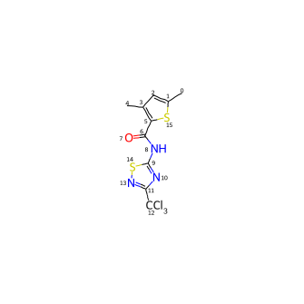 Cc1cc(C)c(C(=O)Nc2nc(C(Cl)(Cl)Cl)ns2)s1